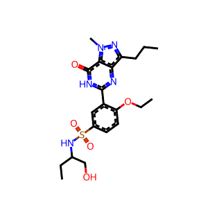 CCCc1nn(C)c2c(=O)[nH]c(-c3cc(S(=O)(=O)NC(CC)CO)ccc3OCC)nc12